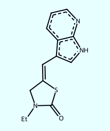 CCN1C/C(=C/c2c[nH]c3ncccc23)SC1=O